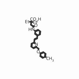 CCC(CC)(CC(=O)Nc1cccc(C=Cc2cccc(COc3ccc(C)cc3)n2)c1)C(=O)O